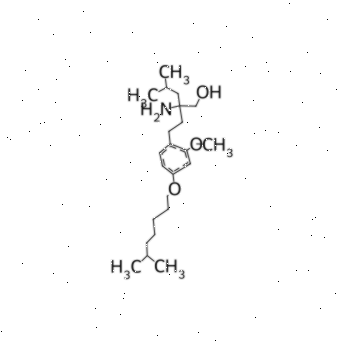 COc1cc(OCCCCCC(C)C)ccc1CCC(N)(CO)CC(C)C